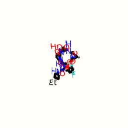 CCc1ccc(NC(=O)N[C@@H](Cc2cc(F)cc(F)c2)C(=O)N[C@@H]2C(=O)N3CCCC3C(=O)N(C)[C@@H]([C@H](C)O)C(=O)N[C@@H](C)C(=O)N3C[C@H](C)CC3C(=O)O[C@H]2C)cc1